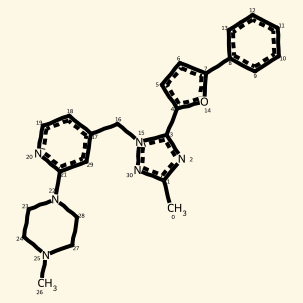 Cc1nc(-c2ccc(-c3ccccc3)o2)n(Cc2ccnc(N3CCN(C)CC3)c2)n1